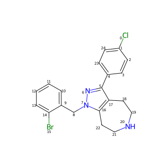 Clc1ccc(-c2nn(Cc3ccccc3Br)c3c2CCNCC3)cc1